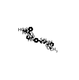 CC(=O)N1CCC[C@H]1C(=O)Nc1cn2cc(-c3ccc(NC(=O)[C@@H]4CCCN4C(=O)[C@H](NC(=O)CO)c4ccccc4)cc3)sc2n1